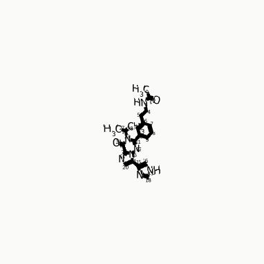 CC(=O)NCCc1cccc(-c2nn3c(-c4c[nH]cn4)cnc3c(=O)n2C(C)C)c1